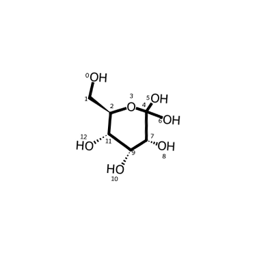 OC[C@H]1OC(O)(O)[C@H](O)[C@H](O)[C@@H]1O